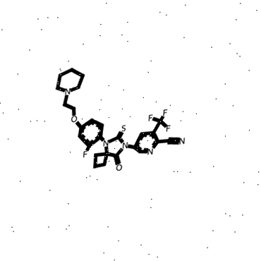 N#Cc1ncc(N2C(=O)C3(CCC3)N(c3ccc(OCCN4CCCCC4)cc3F)C2=S)cc1C(F)(F)F